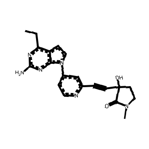 CCc1nc(N)nc2c1ccn2-c1ccnc(C#CC2(O)CCN(C)C2=O)c1